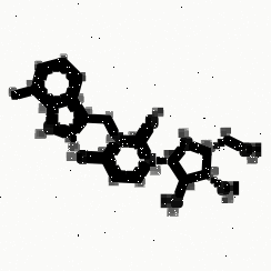 Cc1cccc2c(Cn3c(=O)ccn([C@@H]4O[C@H](CO)[C@H](O)C4O)c3=O)noc12